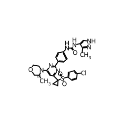 Cc1n[nH]cc1NC(=O)Nc1ccc(-c2nc(N3CCOC[C@@H]3C)cc(C3(S(=O)(=O)c4ccc(Cl)cc4)CC3)n2)cc1